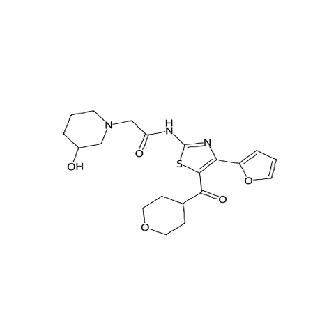 O=C(CN1CCCC(O)C1)Nc1nc(-c2ccco2)c(C(=O)C2CCOCC2)s1